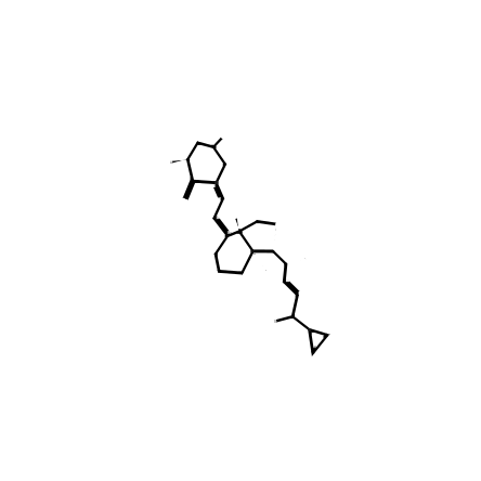 C=C1/C(=C\C=C2\CCC[C@]3(C)[C@@H]([C@H](C)/C=C/C(O)C4CC4)CC[C@@H]23)CC(O)C[C@@H]1O